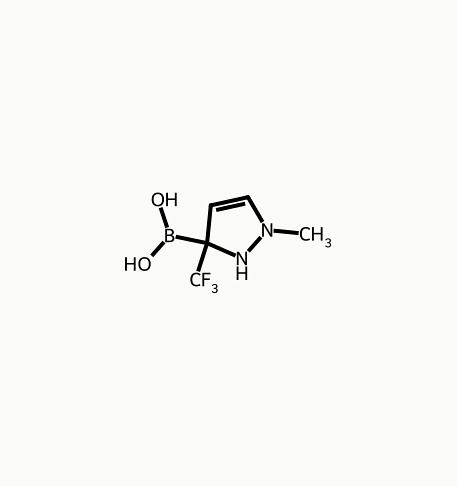 CN1C=CC(B(O)O)(C(F)(F)F)N1